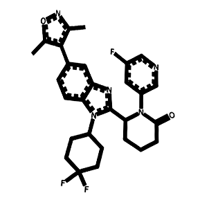 Cc1noc(C)c1-c1ccc2c(c1)nc(C1CCCC(=O)N1c1cncc(F)c1)n2C1CCC(F)(F)CC1